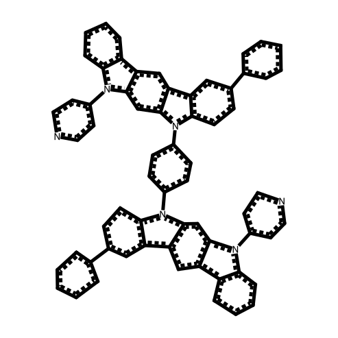 c1ccc(-c2ccc3c(c2)c2cc4c5ccccc5n(-c5ccncc5)c4cc2n3-c2ccc(-n3c4ccc(-c5ccccc5)cc4c4cc5c6ccccc6n(-c6ccncc6)c5cc43)cc2)cc1